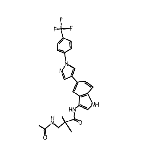 CC(=O)NCC(C)(C)C(=O)Nc1c[nH]c2ccc(-c3cnn(-c4ccc(C(F)(F)F)cc4)c3)cc12